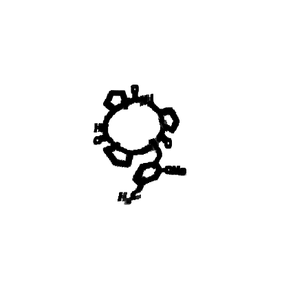 COc1cc(C)ccc1CN1CC2CCCN2C(=O)NCC2CCCN2C(=O)NCC2CCCN2C1=O